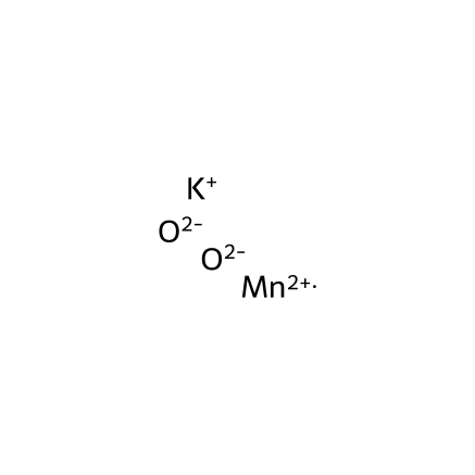 [K+].[Mn+2].[O-2].[O-2]